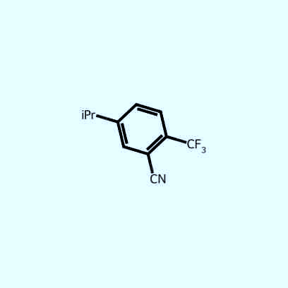 CC(C)c1ccc(C(F)(F)F)c(C#N)c1